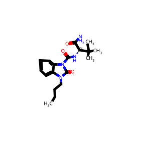 CCCCn1c(=O)n(C(=O)N[C@H](C(N)=O)C(C)(C)C)c2ccccc21